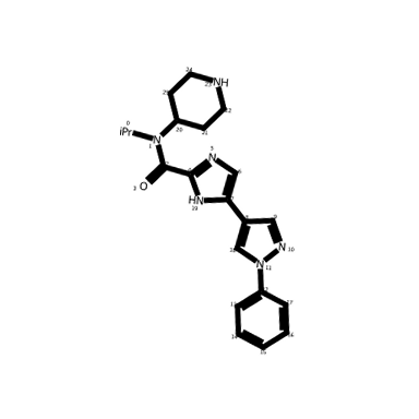 CC(C)N(C(=O)c1ncc(-c2cnn(-c3ccccc3)c2)[nH]1)C1CCNCC1